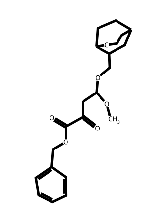 COC(CC(=O)C(=O)OCc1ccccc1)OCC1CC2CCCC1CC2